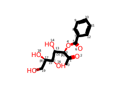 CC(=O)[C@H](OC(=O)c1ccccc1)[C@@H](O)[C@H](O)[C@H](O)CO